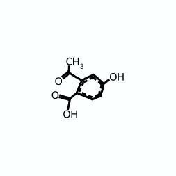 CC(=O)c1cc(O)ccc1C(=O)O